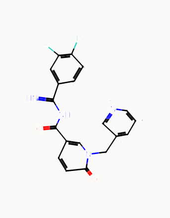 N=C(NC(=O)c1ccc(=O)n(Cc2cccnc2)c1)c1ccc(F)c(F)c1